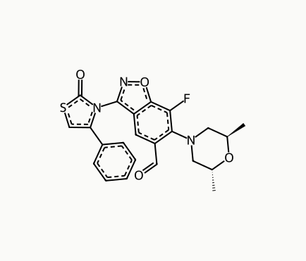 C[C@@H]1CN(c2c(C=O)cc3c(-n4c(-c5ccccc5)csc4=O)noc3c2F)C[C@@H](C)O1